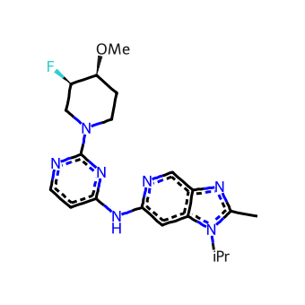 CO[C@H]1CCN(c2nccc(Nc3cc4c(cn3)nc(C)n4C(C)C)n2)C[C@H]1F